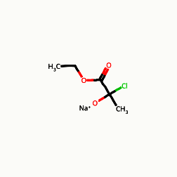 CCOC(=O)C(C)([O-])Cl.[Na+]